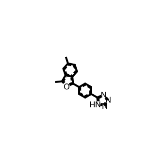 Cc1ccc2c(-c3ccc(-c4nnn[nH]4)cc3)oc(C)c2c1